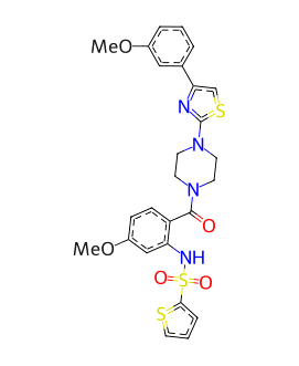 COc1cccc(-c2csc(N3CCN(C(=O)c4ccc(OC)cc4NS(=O)(=O)c4cccs4)CC3)n2)c1